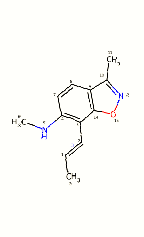 C/C=C/c1c(NC)ccc2c(C)noc12